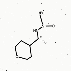 C[C@@H](N[S+]([O-])C(C)(C)C)C1CCOCC1